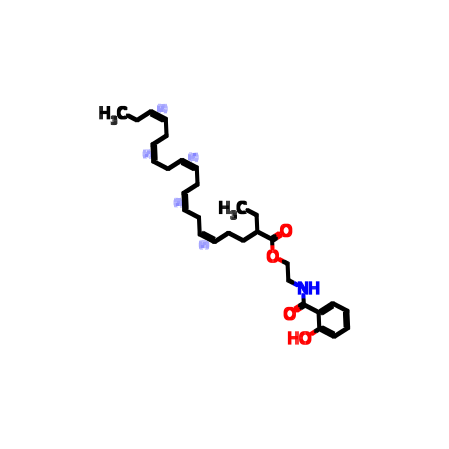 CC/C=C\C/C=C\C/C=C\C/C=C\C/C=C\CCC(CC)C(=O)OCCNC(=O)c1ccccc1O